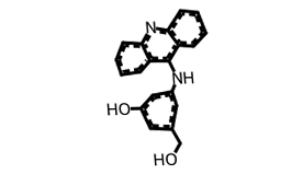 OCc1cc(O)cc(Nc2c3ccccc3nc3ccccc23)c1